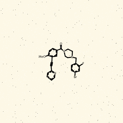 COc1ccc(C(=O)N2CCN(Cc3ccc(Br)cc3F)CC2)cc1C#Cc1ccccn1